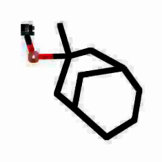 CCOC1(C)CC2CCCC(C2)C1